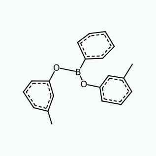 Cc1cccc(OB(Oc2cccc(C)c2)c2ccccc2)c1